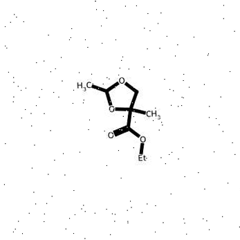 CCOC(=O)C1(C)CO[C](C)O1